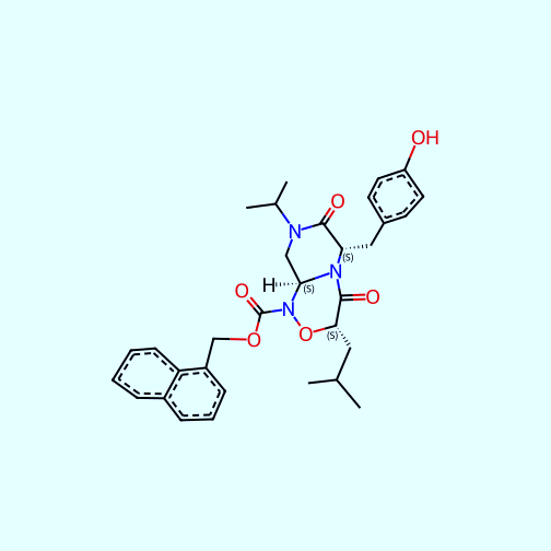 CC(C)C[C@@H]1ON(C(=O)OCc2cccc3ccccc23)[C@H]2CN(C(C)C)C(=O)[C@H](Cc3ccc(O)cc3)N2C1=O